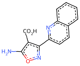 Nc1onc(-c2ccc3ccccc3n2)c1C(=O)O